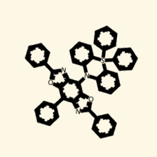 c1ccc(-c2nc3c(N4c5ccccc5S(c5ccccc5)(c5ccccc5)c5ccccc54)c4oc(-c5ccccc5)nc4c(-c4ccccc4)c3o2)cc1